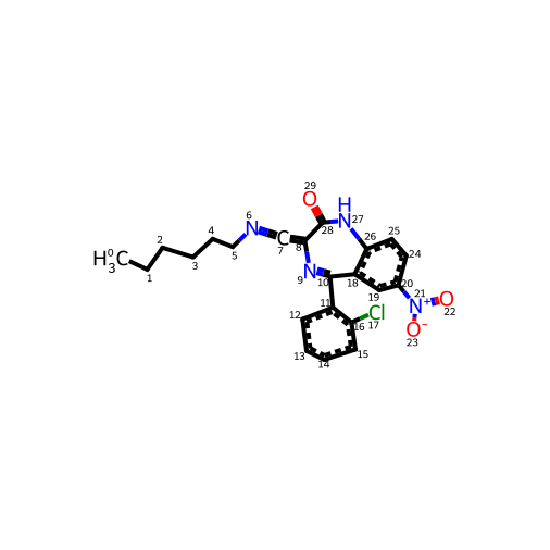 CCCCCCN=C=C1N=C(c2ccccc2Cl)c2cc([N+](=O)[O-])ccc2NC1=O